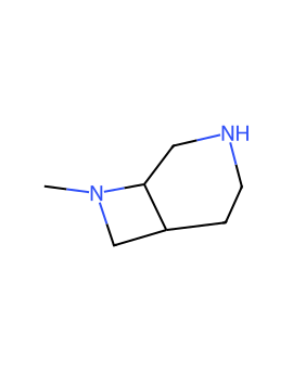 CN1CC2CCNCC21